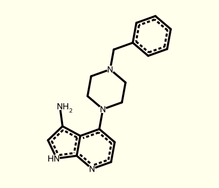 Nc1c[nH]c2nccc(N3CCN(Cc4ccccc4)CC3)c12